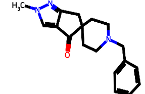 Cn1cc2c(n1)CC1(CCN(Cc3ccccc3)CC1)C2=O